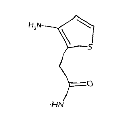 [NH]C(=O)Cc1sccc1N